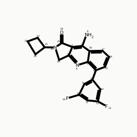 Nc1c2c(nc3c(-c4cc(F)cc(F)c4)cccc13)CN(C1CCC1)C2=O